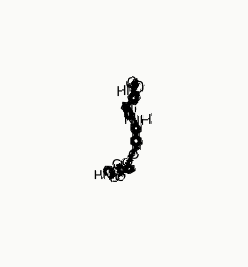 CS(=O)(=O)Nc1cccc(-c2ccc3cnc(Nc4ccc(N5CCN(CCOCCOc6cccc7c6C(=O)N(C6CCCNC6=O)C7=O)CC5)cc4)nn23)c1